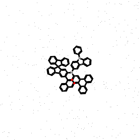 c1ccc(-n2c3ccccc3c3cc(N(c4ccc5c6ccccc6c6ccccc6c5c4)c4cc5c(cc4-c4cccc6ccccc46)-c4ccccc4C54c5ccccc5-c5ccccc54)ccc32)cc1